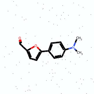 CN(C)c1ccc(-c2ccc([C]=O)o2)cc1